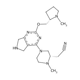 CN1CCC[C@H]1COc1nc2c(c(N3CCN(C)[C@@H](CC#N)C3)n1)CNC2